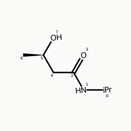 CC(C)NC(=O)C[C@@H](C)O